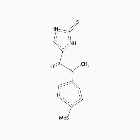 CSc1ccc(N(C)C(=O)c2c[nH]c(=S)[nH]2)cc1